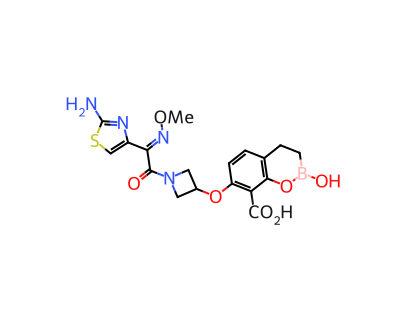 CON=C(C(=O)N1CC(Oc2ccc3c(c2C(=O)O)OB(O)CC3)C1)c1csc(N)n1